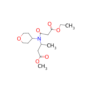 CCOC(=O)CC(=O)N(C(C)CC(=O)OC)C1CCOCC1